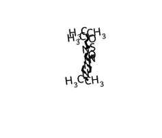 CC(C)N1CCN([n+]2cc([N-]C(=S)CC(=O)C(C)(C)C)on2)CC1